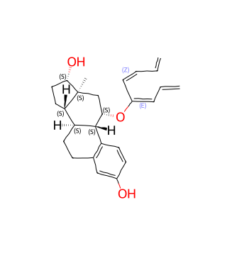 C=C/C=C\C(=C/C=C)O[C@H]1C[C@]2(C)[C@@H](O)CC[C@H]2[C@@H]2CCc3cc(O)ccc3[C@H]21